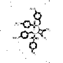 C=C1C(=C)[C@H](N(Cc2ccc(OC)cc2)S(=O)(=O)c2ccc(C)cc2)[C@H]1N(Cc1ccc(OC)cc1)S(=O)(=O)c1ccc(C)cc1